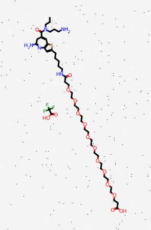 CCCN(CCCN)C(=O)C1=Cc2sc(CCCCCNC(=O)CCOCCOCCOCCOCCOCCOCCOCCOCCOCCOCCC(=O)O)cc2N=C(N)C1.O=C(O)C(F)(F)F